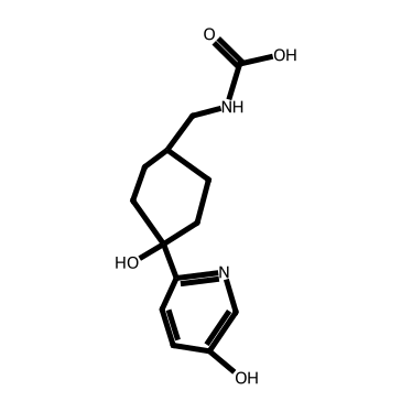 O=C(O)NCC1CCC(O)(c2ccc(O)cn2)CC1